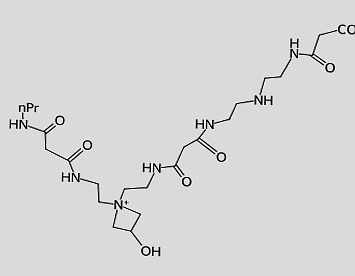 CCCNC(=O)CC(=O)NCC[N+]1(CCNC(=O)CC(=O)NCCNCCNC(=O)CC(=O)O)CC(O)C1